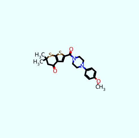 COc1ccc(N2CCN(C(=O)c3cc4c(s3)SC(C)(C)CC4=O)CC2)cc1